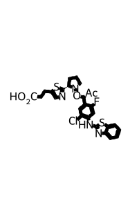 CC(=O)C(ON1CCC[C@H]1c1ncc(CCC(=O)O)s1)c1cc(Cl)c(Nc2nc3ccccc3s2)cc1F